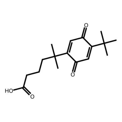 CC(C)(C)C1=CC(=O)C(C(C)(C)CCCC(=O)O)=CC1=O